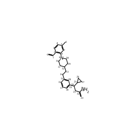 C=Cc1ccc(C)cc1N1CCC(CCc2cccc(C(CC(=C)N)C3CC3)c2)CC1